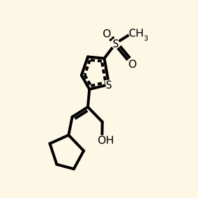 CS(=O)(=O)c1ccc(/C(=C/C2CCCC2)CO)s1